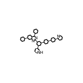 C1=CC(c2cc(-c3ccc(-c4ccc(-c5ccccn5)cc4)cc3)cc(-c3nc(-c4ccccc4)c4ccc(-c5ccccc5)cc4n3)c2)=CNC1